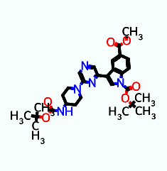 COC(=O)c1ccc2c(c1)c(-c1cncc(N3CCC(NC(=O)OC(C)(C)C)CC3)n1)cn2C(=O)OC(C)(C)C